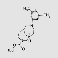 Cc1cc(N2CC[C@@H]3CC(CCN(C(=O)OC(C)(C)C)C3)C2)cc(C)n1